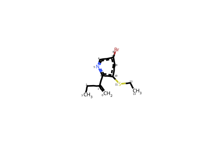 C=C(CC)c1ncc(Br)cc1SCC